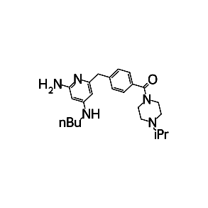 CCCCNc1cc(N)nc(Cc2ccc(C(=O)N3CCN(C(C)C)CC3)cc2)c1